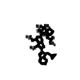 COc1cc(C(=O)N2CC3CCC2(C(C)(C)C)[C@@H]3OC(N)=O)cc2oc(-c3cc4cccnc4n3CC3CC3)c(C)c12